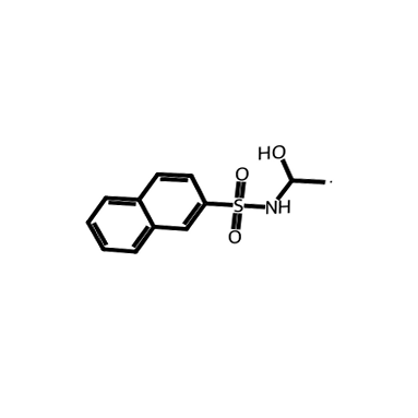 [CH2]C(O)NS(=O)(=O)c1ccc2ccccc2c1